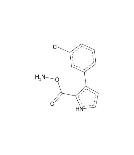 NOC(=O)c1[nH]ccc1-c1cccc(Cl)c1